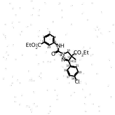 CCOC(=O)c1cccc(NC(=O)N2CC(C)(C(=O)OCC)C(c3ccc(Cl)cc3)=N2)c1